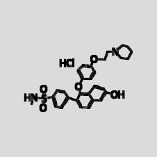 CNS(=O)(=O)c1ccc(-c2ccc3cc(O)ccc3c2Oc2ccc(OCCN3CCCCC3)cc2)cc1.Cl